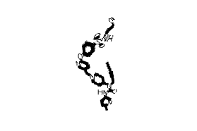 CC#CCN(C(=O)Nc1ccc(C)nc1)C1CCN(Cc2ccc(Oc3ccc(S(=O)(=O)NCCOC)cc3)nc2)CC1